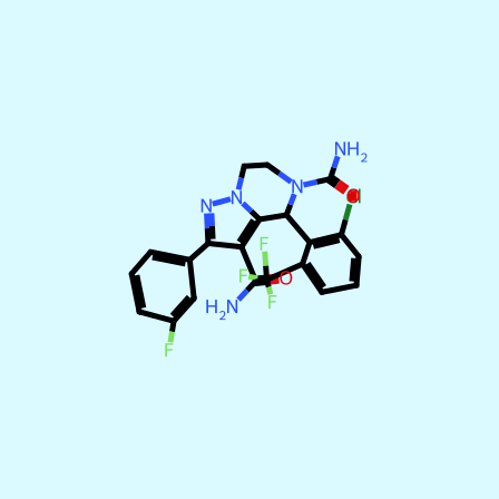 NC(=O)c1c(-c2cccc(F)c2)nn2c1C(c1c(Cl)cccc1C(F)(F)F)N(C(N)=O)CC2